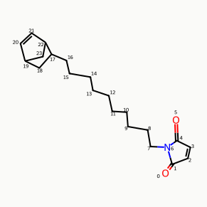 O=C1C=CC(=O)N1CCCCCCCCCCC1CC2C=CC1C2